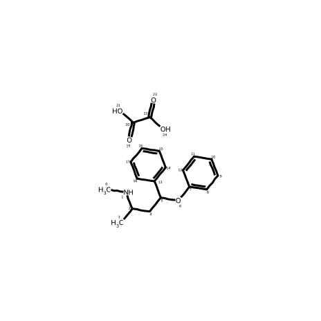 CNC(C)CC(Oc1ccccc1)c1ccccc1.O=C(O)C(=O)O